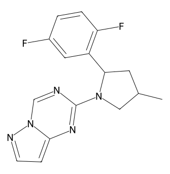 CC1CC(c2cc(F)ccc2F)N(c2ncn3nccc3n2)C1